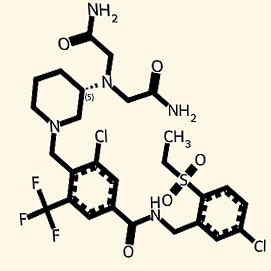 CCS(=O)(=O)c1ccc(Cl)cc1CNC(=O)c1cc(Cl)c(CN2CCC[C@H](N(CC(N)=O)CC(N)=O)C2)c(C(F)(F)F)c1